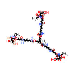 CC(=O)NC1C(OCCCC(=O)NCCCCCCNC(=O)OCCCC(C)(CCCOC(=O)NCCCCCCNC(=O)CCCOC2OC(CO)C(O)C(O)C2NC(C)=O)COC(=O)NCCCCCCNC(=O)CCCOC2OC(CO)C(O)C(O)C2NC(C)=O)OC(CO)C(O)C1O